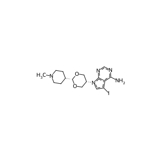 CN1CCC([C@H]2OC[C@@H](n3cc(I)c4c(N)ncnc43)CO2)CC1